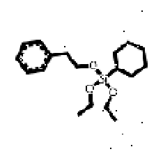 CCO[Si](OCC)(OCCc1ccccc1)C1CCCCC1